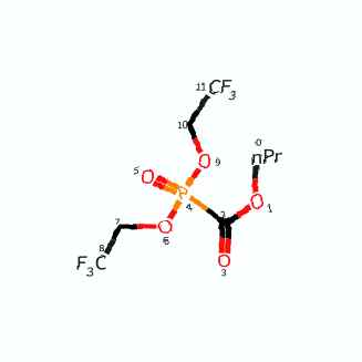 CCCOC(=O)P(=O)(OCC(F)(F)F)OCC(F)(F)F